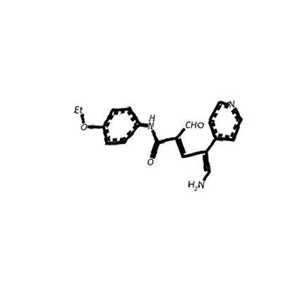 CCOc1ccc(NC(=O)/C(C=O)=C/C(=C\N)c2ccncc2)cc1